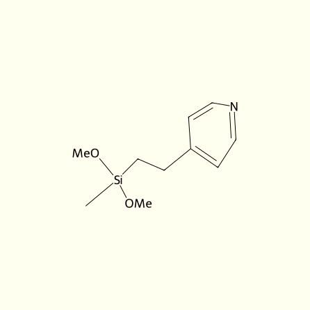 CO[Si](C)(CCc1ccncc1)OC